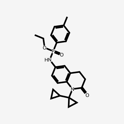 CCOP(=O)(Nc1ccc2c(c1)CCC(=O)N2C1(C2CC2)CC1)c1ccc(C)cc1